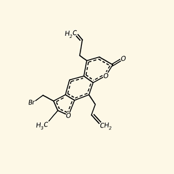 C=CCc1cc(=O)oc2c(CC=C)c3oc(C)c(CBr)c3cc12